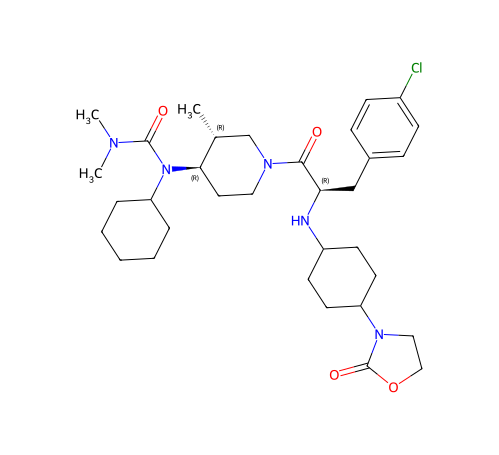 C[C@@H]1CN(C(=O)[C@@H](Cc2ccc(Cl)cc2)NC2CCC(N3CCOC3=O)CC2)CC[C@H]1N(C(=O)N(C)C)C1CCCCC1